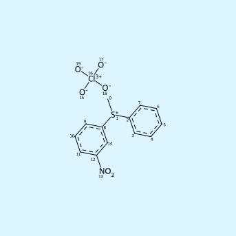 C[S+](c1ccccc1)c1cccc([N+](=O)[O-])c1.[O-][Cl+3]([O-])([O-])[O-]